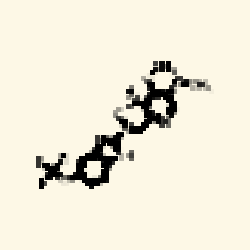 COc1cnc(C[S+]([O-])c2nc3cc(OC(F)(F)Cl)ccc3[nH]2)c(C)c1OC